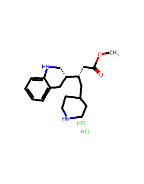 COC(=O)C[C@H](CC1CCNCC1)[C@H]1CNc2ccccc2C1.Cl.Cl